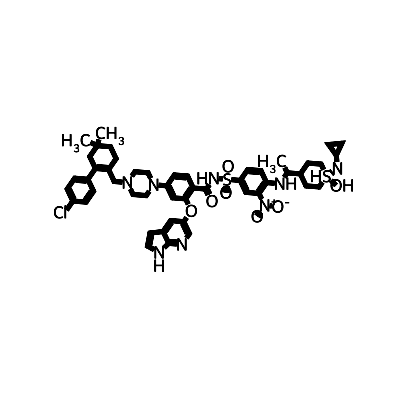 CC(Nc1ccc(S(=O)(=O)NC(=O)c2ccc(N3CCN(CC4=C(c5ccc(Cl)cc5)CC(C)(C)CC4)CC3)cc2Oc2cnc3[nH]ccc3c2)cc1[N+](=O)[O-])C1CC[SH](O)(=NC2CC2)CC1